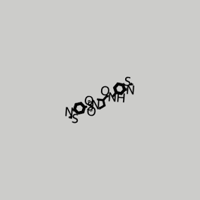 O=C(Nc1ccc2scnc2c1)C1CCN(S(=O)(=O)c2ccc3ncsc3c2)C1